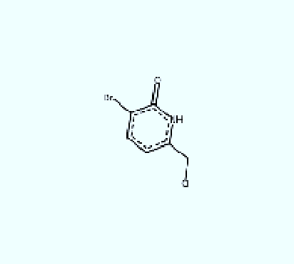 O=c1[nH]c(CCl)ccc1Br